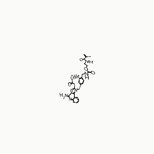 C=C(C)C(=O)NCCOC(=O)NCc1ccc(Cn2c(CC(=O)OC)nc3c(N)nc4ccccc4c32)cc1